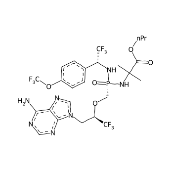 CCCOC(=O)C(C)(C)N[P@](=O)(CO[C@H](Cn1cnc2c(N)ncnc21)C(F)(F)F)N[C@H](c1ccc(OC(F)(F)F)cc1)C(F)(F)F